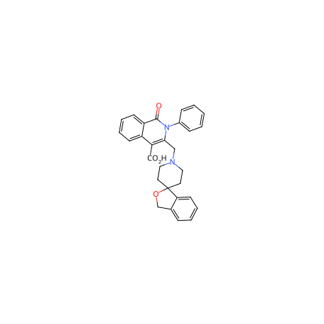 O=C(O)c1c(CN2CCC3(CC2)OCc2ccccc23)n(-c2ccccc2)c(=O)c2ccccc12